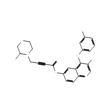 CC1CNCCN1CC#CC(=O)Nc1ccc2ncc(C#N)c(Nc3cccc(Br)c3)c2c1